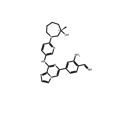 C[C@]1(O)CCCCN(c2ccc(Nc3nc(-c4ccc(C=N)c(N)c4)cn4ccnc34)cn2)C1